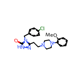 COc1ccccc1N1CCN(CCc2n[nH]c(=O)n2Cc2ccc(Cl)cc2)CC1